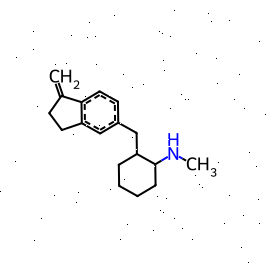 C=C1CCc2cc(CC3CCCCC3NC)ccc21